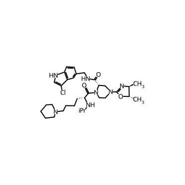 CC(C)N[C@H](CCCCN1CCCCC1)C(=O)N1CCN(C2=N[C@@H](C)[C@H](C)O2)C[C@H]1C(=O)NCc1ccc2[nH]cc(Cl)c2c1